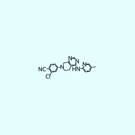 Cc1ccc(Nc2ncnc3c2CCN(c2ccc(C#N)c(Cl)c2)C3)nc1